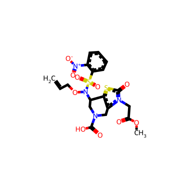 C=CCON(C1CN(C(=O)O)Cc2c1sc(=O)n2CC(=O)OC)S(=O)(=O)c1ccccc1[N+](=O)[O-]